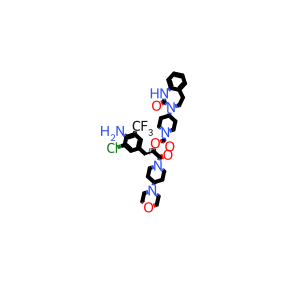 Nc1c(Cl)cc(C[C@@H](OC(=O)N2CCC(N3CCc4ccccc4NC3=O)CC2)C(=O)N2CCC(N3CCOCC3)CC2)cc1C(F)(F)F